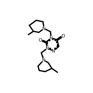 CC1CCCN(Cn2ncc(=O)n(CN3CCCC(C)C3)c2=O)C1